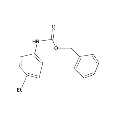 CCc1ccc(NC(=O)OCc2ccccc2)cc1